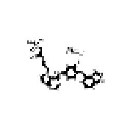 CS(=O)(=O)CC(=O)NCCn1ccc2ncnc(Nc3ccc(Oc4cccc5sncc45)c(Cl)c3)c21.CS(=O)(=O)O